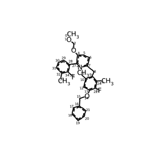 COCOc1ccc(Cc2c(C)cc(OCc3ccccc3)c(F)c2C)nc1-c1cccc(C)c1F